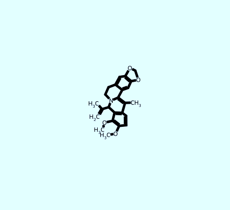 C=C(C)C1c2c(ccc(OC)c2OC)C(C)=C2c3cc4c(cc3CCN21)OCO4